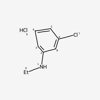 CCNc1cccc(Cl)c1.Cl